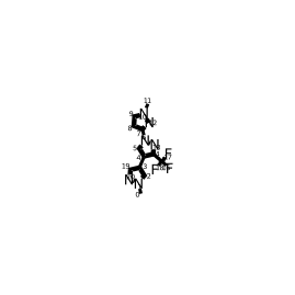 Cn1cc(-c2cn(-c3ccn(C)n3)nc2C(F)(F)F)cn1